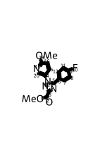 COC(=O)c1nc(-c2ccc(F)cc2)n(-c2ccc(OC)nc2)n1